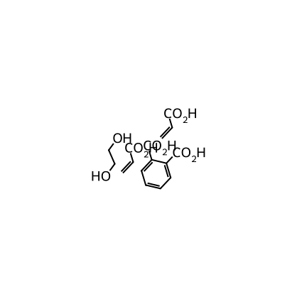 C=CC(=O)O.C=CC(=O)O.O=C(O)c1ccccc1C(=O)O.OCCO